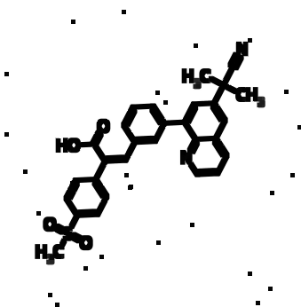 CC(C)(C#N)c1cc(-c2cccc(C=C(C(=O)O)c3ccc(S(C)(=O)=O)cc3)c2)c2ncccc2c1